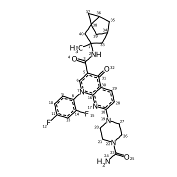 CC1(NC(=O)c2cn(-c3ccc(F)cc3F)c3nc(N4CCN(C(N)=O)CC4)ccc3c2=O)CC2CC3CC3(C2)C1